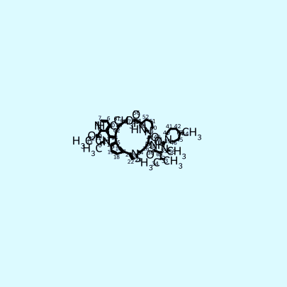 CCn1c(-c2cccnc2[C@H](C)OC)c2c3cc(ccc31)-c1csc(n1)C[C@H](NC(=O)[C@H](C(C)C)N(C)C(=O)N1CCC[C@@H](C)CC1)C(=O)N1CCC[C@H](N1)C(=O)OCC(C)(C)C2